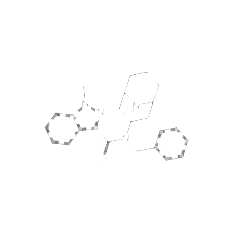 CN1C2CCCC1CC(N(Cc1ccccc1)C(=O)c1nn(C)c3ccccc13)C2